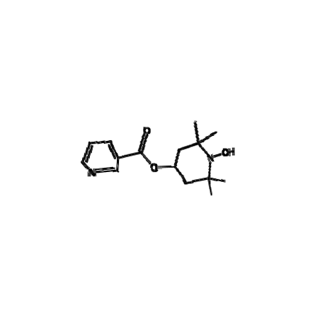 CC1(C)CC(OC(=O)c2cccnc2)CC(C)(C)N1O